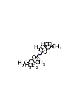 CC(C)CC(OC(=O)/C=C/C(=O)OC(CC(C)C)C(C)C)C(C)C